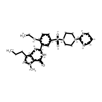 CCCc1nn(C)c2c(=O)[nH]c(-c3cc(S(=O)(=O)N4CCN(c5ncccn5)CC4)ccc3OCC)nc12